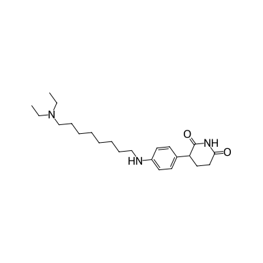 CCN(CC)CCCCCCCCNc1ccc(C2CCC(=O)NC2=O)cc1